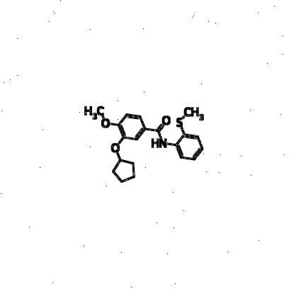 COc1ccc(C(=O)Nc2ccccc2SC)cc1OC1CCCC1